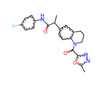 Cc1nnc(C(=O)N2CCCc3cc(C(C)C(=O)Nc4ccc(F)cc4)ccc32)o1